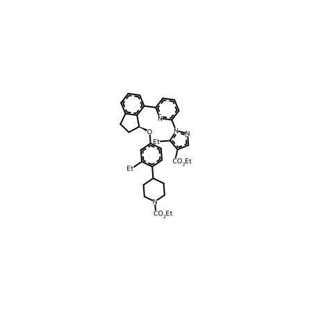 CCOC(=O)c1cnn(-c2cccc(-c3cccc4c3[C@@H](Oc3ccc(C5CCN(C(=O)OCC)CC5)c(CC)c3)CC4)n2)c1CC